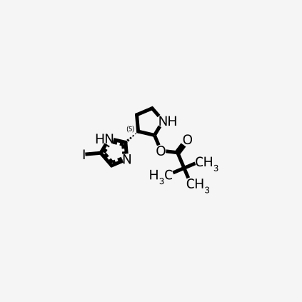 CC(C)(C)C(=O)OC1NCC[C@H]1c1ncc(I)[nH]1